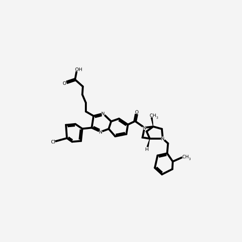 CC1CC=CC=C1CN1C[C@]2(C)C[C@H]1CN2C(=O)C1=CC2N=C(CCCCC(=O)O)C(c3ccc(Cl)cc3)=NC2C=C1